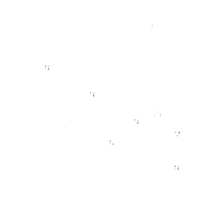 COc1ncccc1-c1nc2c(n1C(C)C)C(c1ccc(Cl)cc1)N(c1cc(C)c(=O)n(C)c1)C2=O